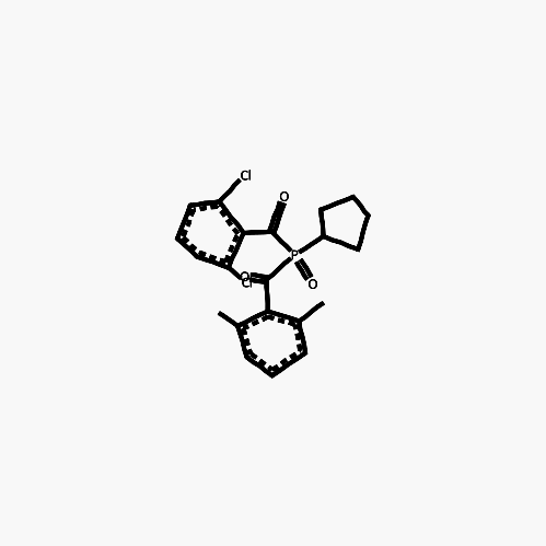 Cc1cccc(C)c1C(=O)P(=O)(C(=O)c1c(Cl)cccc1Cl)C1CCCC1